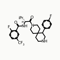 CC(C)[C@@H](NC(=O)c1cc(C(F)(F)F)ccc1F)C(=O)N1CCC2(CCNCC2c2ccc(F)cc2)CC1